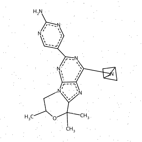 CC1Cn2c(nc3c(N4CC5CC4C5)nc(-c4cnc(N)nc4)nc32)C(C)(C)O1